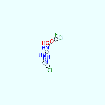 OC(CNC1CCC(NNCc2ccc3cc(Cl)ccc3n2)C1)COc1ccc(Cl)c(F)c1